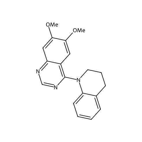 COc1cc2ncnc(N3CCCc4ccccc43)c2cc1OC